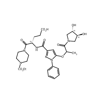 CCOC(=O)N1CCN(C(=O)[C@H](CCC(=O)O)NC(=O)c2cc(OC(C)C(=O)N3C[C@H](O)[C@@H](O)C3)n(-c3ccccc3)n2)CC1